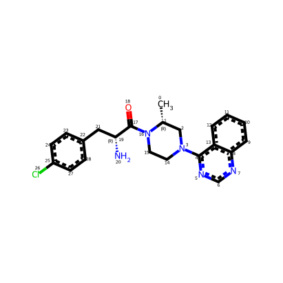 C[C@@H]1CN(c2ncnc3ccccc23)CCN1C(=O)[C@H](N)Cc1ccc(Cl)cc1